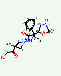 CC(C(=O)NN1CC(F)(C(=O)CO)C1)(c1ccccc1)C1CNC(=O)O1